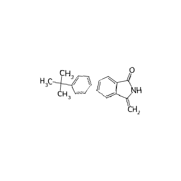 C=C1NC(=O)c2ccccc21.CC(C)(C)c1ccccc1